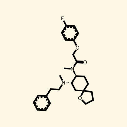 CN(CCc1ccccc1)[C@H]1C[C@]2(CCCO2)CC[C@@H]1N(C)C(=O)COc1ccc(F)cc1